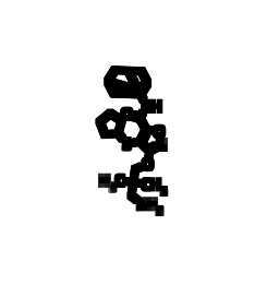 CC(C)(CN)COc1noc(C(=O)NC2C3CC4CC(C3)CC2C4)c1SC1CCCC1